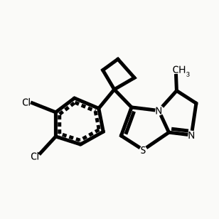 CC1CN=C2SC=C(C3(c4ccc(Cl)c(Cl)c4)CCC3)N21